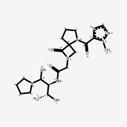 C[C@@H](O)[C@H](NC(=O)CN1CC2(CCCN2C(=O)c2ncnn2C)C1=O)C(O)N1CCCC1